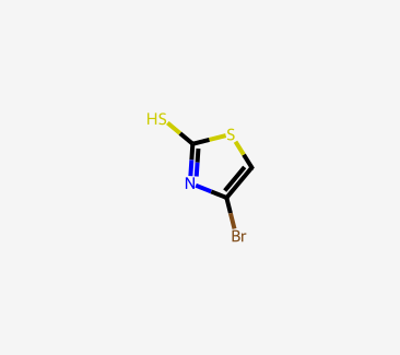 Sc1nc(Br)cs1